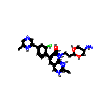 Cc1cncc(-c2ccc(-c3cc4cnc(C)nc4n(CCC4OCC(N)CO4)c3=O)c(Cl)c2)n1